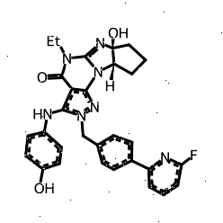 CCN1C(=O)c2c(nn(Cc3ccc(-c4cccc(F)n4)cc3)c2Nc2ccc(O)cc2)N2C1=N[C@]1(O)CCC[C@H]21